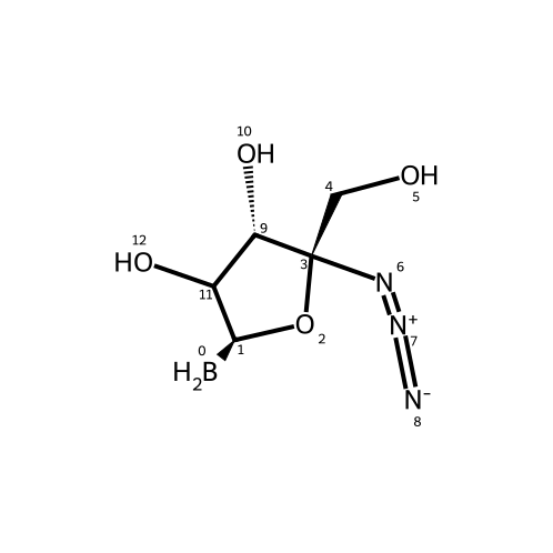 B[C@@H]1O[C@@](CO)(N=[N+]=[N-])[C@@H](O)C1O